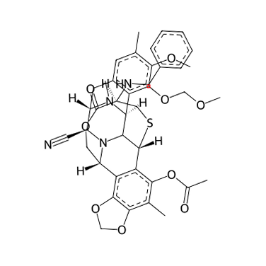 COCOc1c(OC)c(C)cc2c1[C@H]1C3[C@@H]4SC[C@H](NCc5ccccc5)C(=O)OC[C@@H](c5c6c(c(C)c(OC(C)=O)c54)OCO6)N3[C@@H](C#N)[C@H](C2)N1C